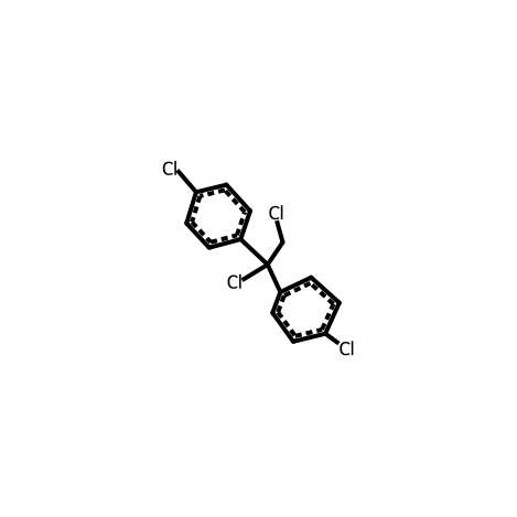 ClCC(Cl)(c1ccc(Cl)cc1)c1ccc(Cl)cc1